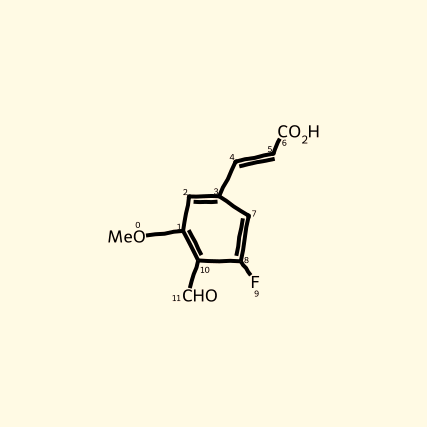 COc1cc(/C=C/C(=O)O)cc(F)c1C=O